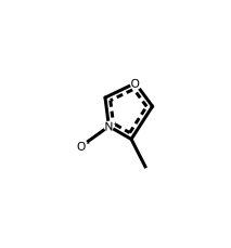 Cc1coc[n+]1[O-]